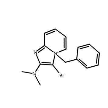 CN(C)C1=C(Br)[N+]2(Cc3ccccc3)C=CC=CC2=N1